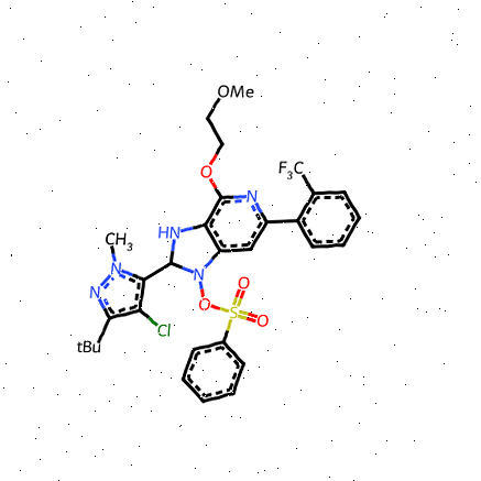 COCCOc1nc(-c2ccccc2C(F)(F)F)cc2c1NC(c1c(Cl)c(C(C)(C)C)nn1C)N2OS(=O)(=O)c1ccccc1